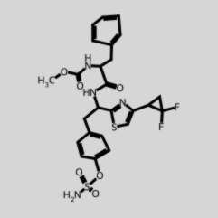 COC(=O)NC(Cc1ccccc1)C(=O)NC(Cc1ccc(OS(N)(=O)=O)cc1)c1nc(C2CC2(F)F)cs1